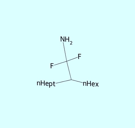 CCCCCCCC(CCCCCC)C(N)(F)F